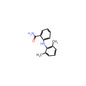 Cc1cccc(C)c1Nc1ccccc1C(N)=O